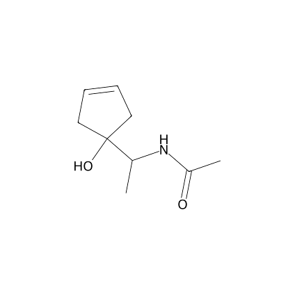 CC(=O)NC(C)C1(O)CC=CC1